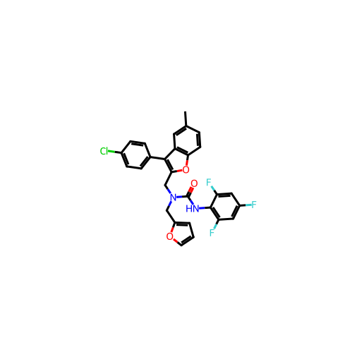 Cc1ccc2oc(CN(Cc3ccco3)C(=O)Nc3c(F)cc(F)cc3F)c(-c3ccc(Cl)cc3)c2c1